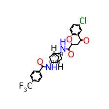 O=C(N[C@H]1C[C@H]2C[C@@H]1C[C@@H]2NC(=O)C1CC(=O)c2cc(Cl)ccc2O1)c1ccc(C(F)(F)F)cc1